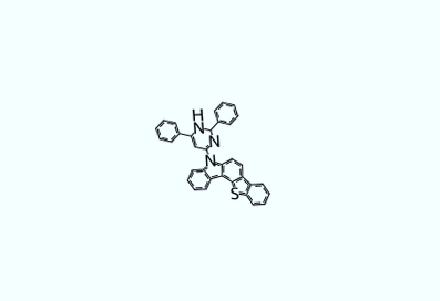 C1=C(c2ccccc2)NC(c2ccccc2)N=C1n1c2ccccc2c2c3sc4ccccc4c3ccc21